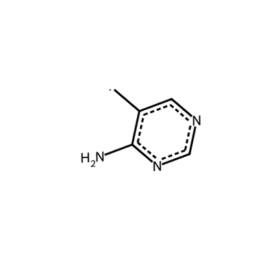 [CH2]c1cncnc1N